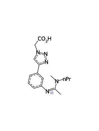 CCCN(C)/C(C)=N\c1cccc(-c2cn(CC(=O)O)nn2)c1